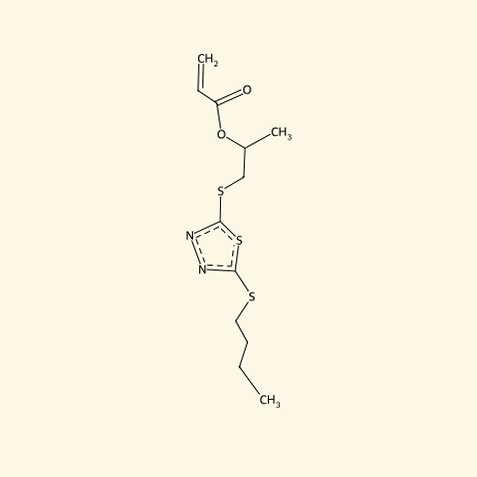 C=CC(=O)OC(C)CSc1nnc(SCCCC)s1